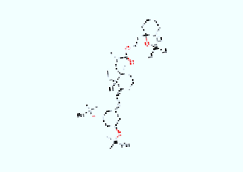 CC[Si](CC)(CC)OC1(CCOC(=O)[C@@H](C)[C@H]2CC[C@H]3/C(=C/C=C4C[C@@H](O[Si](C)(C)C(C)(C)C)C[C@H](O[Si](C)(C)C(C)(C)C)C4)CCC[C@]23C)CCCCC1